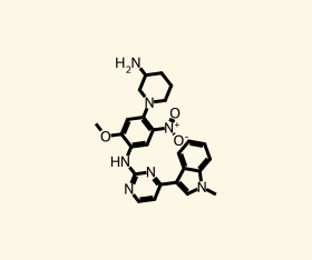 COc1cc(N2CCCC(N)C2)c([N+](=O)[O-])cc1Nc1nccc(-c2cn(C)c3ccccc23)n1